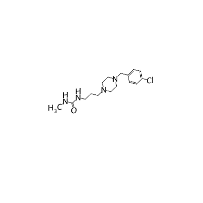 CNC(=O)NCCCN1CCN(Cc2ccc(Cl)cc2)CC1